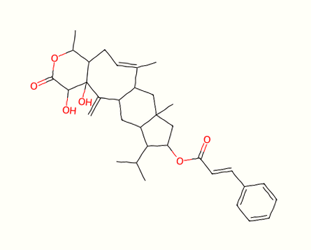 C=C1C2CC3C(C(C)C)C(OC(=O)C=Cc4ccccc4)CC3(C)CC2/C(C)=C/CC2C(C)OC(=O)C(O)C12O